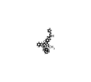 CC(C)CC(C[C@@H](O)[C@H](Cc1ccccc1)NC(=O)O[C@H]1CO[C@H]2OCC[C@H]21)c1ccc2nc(NCCN3CCCC3)sc2c1